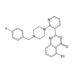 CCc1cccc2nc(-c3cccnc3N3CCN(Cc4ccc(F)cc4)CC3)oc(=O)c12